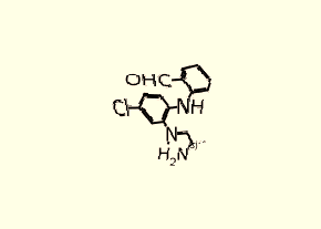 C[C@H](N)CN(C)c1cc(Cl)ccc1Nc1ccccc1C=O